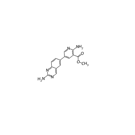 COC(=O)c1cc(-c2ccc3nc(N)ncc3c2)cnc1N